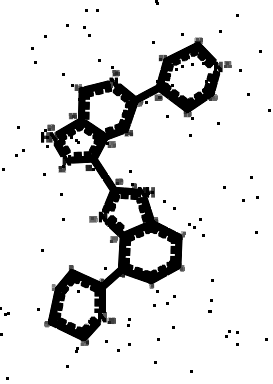 c1ccc(-c2cccc3[nH]c(-c4n[nH]c5cnc(-c6ccncc6)cc45)nc23)nc1